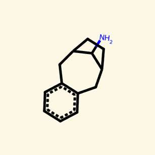 NC1C2CCC1Cc1ccccc1C2